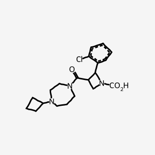 O=C(C1CN(C(=O)O)C1c1ccccc1Cl)N1CCCN(C2CCC2)CC1